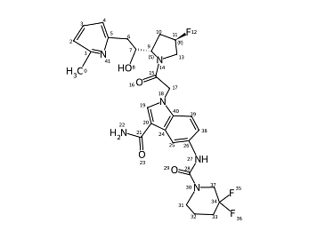 Cc1cccc(CC(O)[C@@H]2C[C@@H](F)CN2C(=O)Cn2cc(C(N)=O)c3cc(NC(=O)N4CCCC(F)(F)C4)ccc32)n1